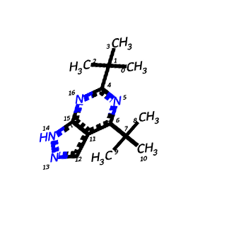 CC(C)(C)c1nc(C(C)(C)C)c2cn[nH]c2n1